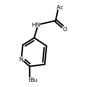 CC(=O)C(=O)Nc1ccc(C(C)(C)C)nc1